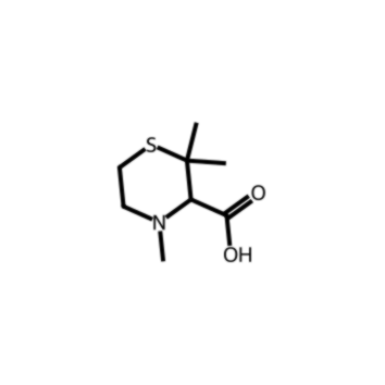 CN1CCSC(C)(C)C1C(=O)O